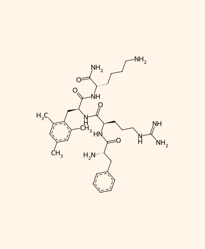 Cc1cc(C)c(C[C@H](NC(=O)[C@@H](CCCNC(=N)N)NC(=O)[C@@H](N)Cc2ccccc2)C(=O)N[C@@H](CCCCN)C(N)=O)c(C)c1